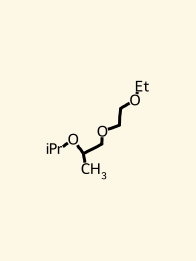 CCOCCOCC(C)OC(C)C